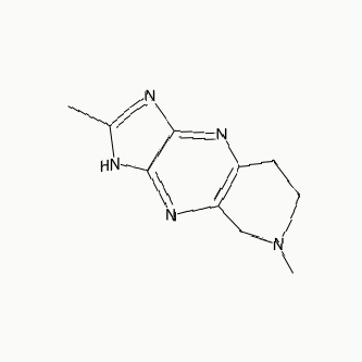 Cc1nc2nc3c(nc2[nH]1)CN(C)CC3